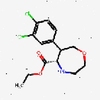 CCOC(=O)[C@H]1NCCOCC1c1ccc(Cl)c(Cl)c1